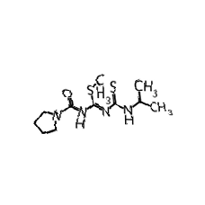 CSC(=NC(=S)NC(C)C)NC(=O)N1CCCC1